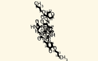 CCCCOC(=O)C1(O/N=C(\C(=O)N[C@@H]2C(=O)N[C@@H]2CNC(=O)NCc2cc(=O)c(OCCCC)c[nH]2)c2csc(NC(=O)OC(C)(C)C)n2)CCOCC1